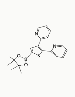 CC1(C)OB(c2cc(-c3ccccn3)c(-c3ccccn3)s2)OC1(C)C